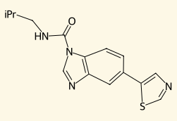 CC(C)CNC(=O)n1cnc2cc(-c3cncs3)ccc21